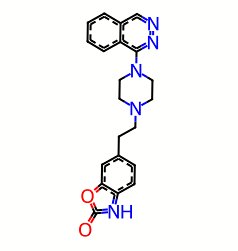 O=c1[nH]c2ccc(CCN3CCN(c4nncc5ccccc45)CC3)cc2o1